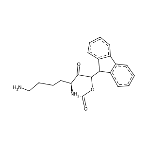 NCCCC[C@H](N)C(=O)C(O[C]=O)C1c2ccccc2-c2ccccc21